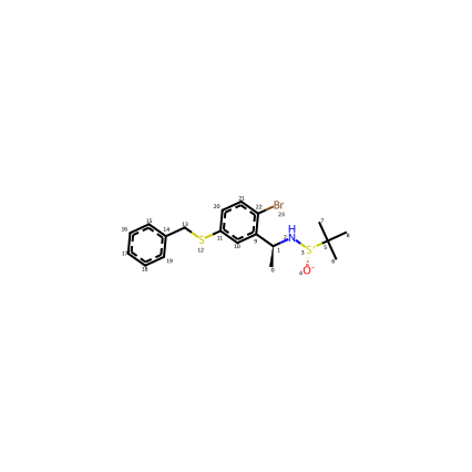 C[C@H](N[S@@+]([O-])C(C)(C)C)c1cc(SCc2ccccc2)ccc1Br